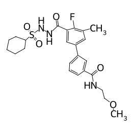 COCCNC(=O)c1cccc(-c2cc(C)c(F)c(C(=O)NNS(=O)(=O)C3CCCCC3)c2)c1